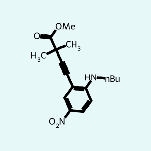 CCCCNc1ccc([N+](=O)[O-])cc1C#CC(C)(C)C(=O)OC